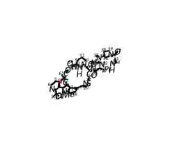 CCn1c(-c2cccnc2[C@H](C)OC)c2c3cc(ccc31)-c1csc(n1)C[C@H](NC(=O)C(C(C)C)N(C)C(=O)N(C)[C@H]1CCN(C(=O)[C@@H]3CN3)C1)C(=O)N1CCC[C@H](N1)C(=O)OCC(C)(C)C2